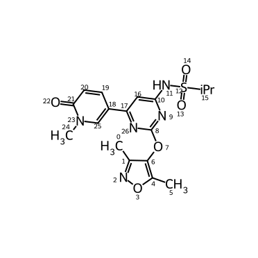 Cc1noc(C)c1Oc1nc(NS(=O)(=O)C(C)C)cc(-c2ccc(=O)n(C)c2)n1